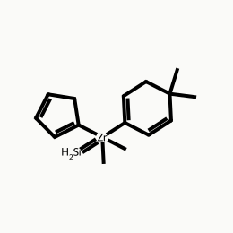 CC1(C)C=C[C]([Zr]([CH3])([CH3])(=[SiH2])[C]2=CC=CC2)=CC1